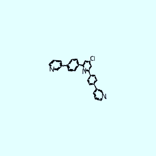 Clc1cc(-c2ccc(-c3cccnc3)cc2)nc(-c2ccc(-c3cccnc3)cc2)c1